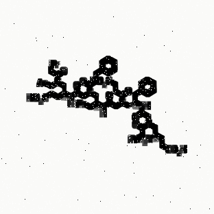 CC(=O)CN(C[C@H](CCC(=O)O)NC(=O)CN(C[C@H](CC(C)C)NC(=O)CN(C[C@H](Cc1ccccc1)NC(=O)CN(C[C@@H](N)CCC(=O)O)C(=O)CC(C)C)C(=O)CCC(=O)O)C(=O)CCc1ccccc1)C(=O)CC(C)C